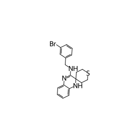 Brc1cccc(CNC2=Nc3ccccc3NC23CCSCC3)c1